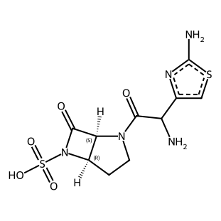 Nc1nc(C(N)C(=O)N2CC[C@@H]3[C@H]2C(=O)N3S(=O)(=O)O)cs1